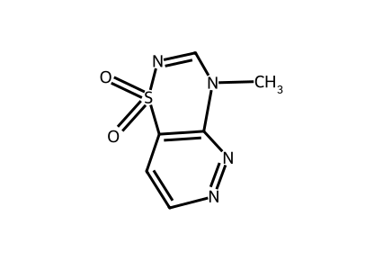 CN1C=NS(=O)(=O)c2ccnnc21